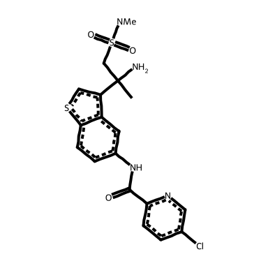 CNS(=O)(=O)CC(C)(N)c1csc2ccc(NC(=O)c3ccc(Cl)cn3)cc12